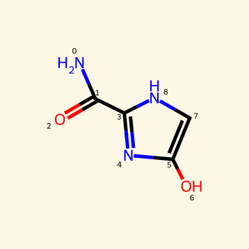 NC(=O)c1nc(O)c[nH]1